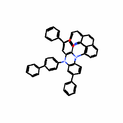 c1ccc(-c2ccc(N3c4cc(-c5ccccc5)ccc4N(c4cccc5ccc6cccnc6c45)c4ccc(-c5ccccc5)cc43)cc2)cc1